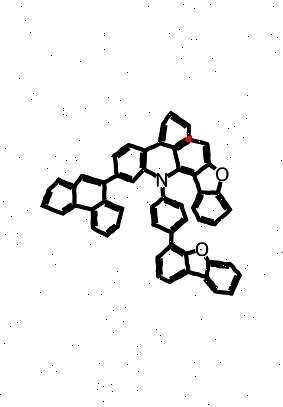 c1ccc(-c2ccc(-c3cc4ccccc4c4ccccc34)cc2N(c2ccc(-c3cccc4c3oc3ccccc34)cc2)c2cccc3oc4ccccc4c23)cc1